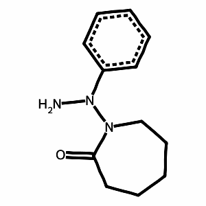 NN(c1ccccc1)N1CCCCCC1=O